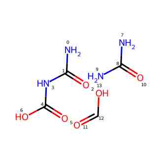 NC(=O)NC(=O)O.NC(N)=O.O=CO